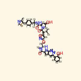 Cc1ncsc1-c1ccc(C(C)(C)NC(=O)[C@@H]2C[C@@H](O)CN2C(=O)[C@@H](c2cc(OCCN(C)C(=O)c3cc4cc(-c5ccccc5O)nnc4[nH]3)no2)C(C)C)cc1